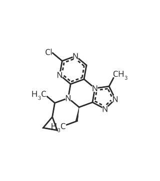 CC[C@@H]1c2nnc(C)n2-c2cnc(Cl)nc2N1C(C)C1CC1